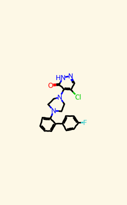 O=c1[nH]ncc(Cl)c1N1CCN(c2ccccc2-c2ccc(F)cc2)CC1